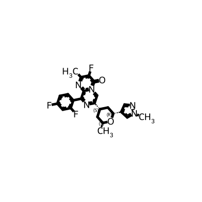 Cc1nc2c(-c3ccc(F)cc3F)nc([C@H]3C[C@H](C)O[C@@H](c4cnn(C)c4)C3)cn2c(=O)c1F